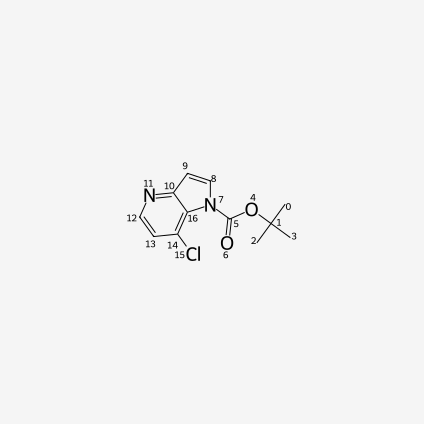 CC(C)(C)OC(=O)n1ccc2nccc(Cl)c21